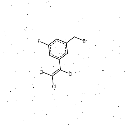 Fc1cc(CBr)cc(C(Cl)=C(Cl)Cl)c1